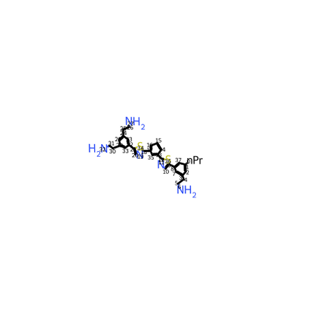 CCCc1cc(CCN)cc(-c2cnc(-c3cccc(-c4ncc(-c5cc(CCN)cc(CCN)c5)s4)c3)s2)c1